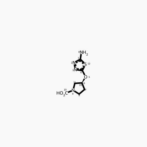 Nc1nnc(O[C@H]2CCN(C(=O)O)C2)s1